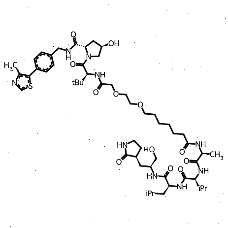 Cc1ncsc1-c1ccc(CNC(=O)[C@@H]2C[C@@H](O)CN2C(=O)[C@@H](NC(=O)COCCOCCCCCCC(=O)N[C@@H](C)C(=O)N[C@H](C(=O)N[C@@H](CC(C)C)C(=O)N[C@H](CO)C[C@@H]2CCNC2=O)C(C)C)C(C)(C)C)cc1